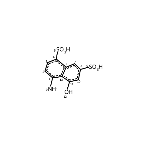 [NH]c1ccc(S(=O)(=O)O)c2cc(S(=O)(=O)O)cc(O)c12